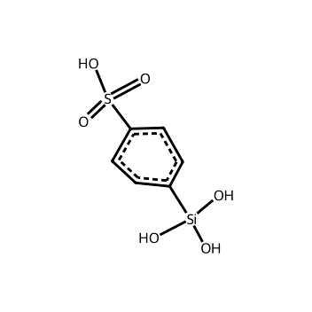 O=S(=O)(O)c1ccc([Si](O)(O)O)cc1